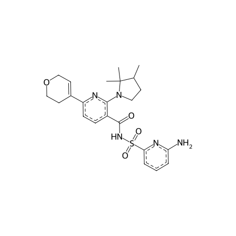 CC1CCN(c2nc(C3=CCOCC3)ccc2C(=O)NS(=O)(=O)c2cccc(N)n2)C1(C)C